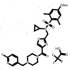 COc1cc(C)c(S(=O)(=O)N(Cc2nc(C(=O)N3CCN(Cc4ccc(F)nc4)CC3)co2)C2CC2)c(C)c1.O=C(O)C(F)(F)F